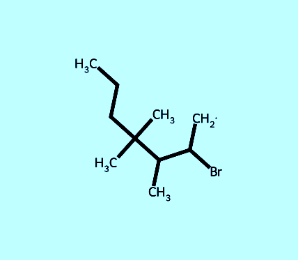 [CH2]C(Br)C(C)C(C)(C)CCC